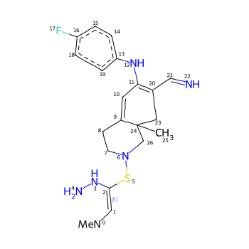 CN/C=C(\NN)SN1CCC2=CC(Nc3ccc(F)cc3)=C(C=N)CC2(C)C1